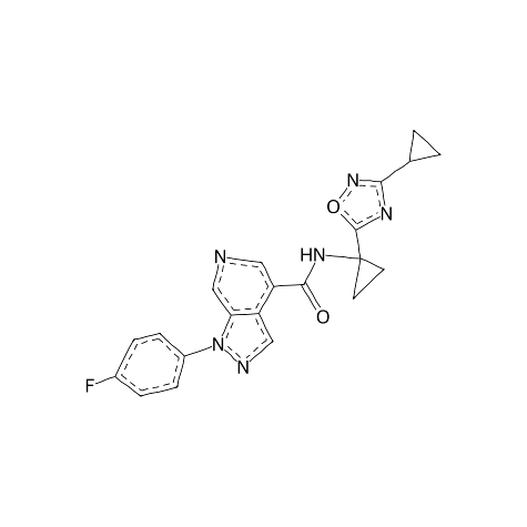 O=C(NC1(c2nc(C3CC3)no2)CC1)c1cncc2c1cnn2-c1ccc(F)cc1